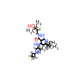 CC(C)(O)C(F)CNC(=O)c1cn[c]([Sn]([CH3])([CH3])[CH3])cc1Nc1cnn(C2CC(F)(F)C2)c1